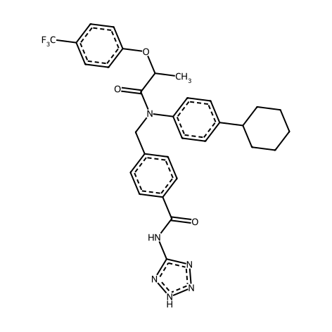 CC(Oc1ccc(C(F)(F)F)cc1)C(=O)N(Cc1ccc(C(=O)Nc2nn[nH]n2)cc1)c1ccc(C2CCCCC2)cc1